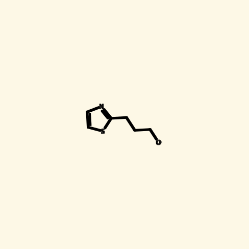 [O]CCCc1nccs1